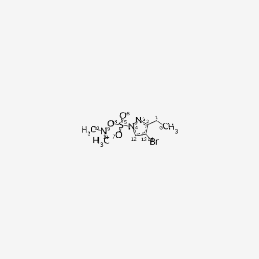 CCc1nn(S(=O)(=O)ON(C)C)cc1Br